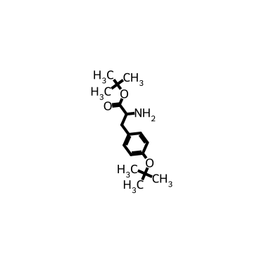 CC(C)(C)OC(=O)C(N)Cc1ccc(OC(C)(C)C)cc1